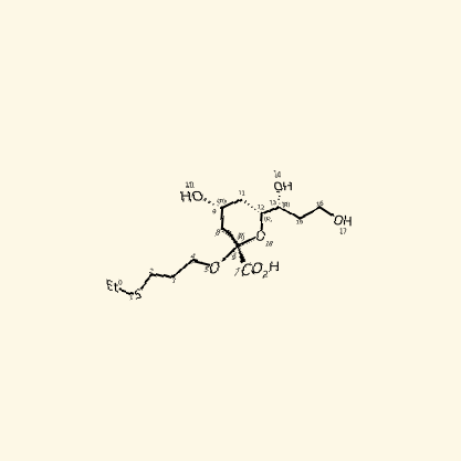 CCSCCCO[C@]1(C(=O)O)C[C@H](O)C[C@H]([C@H](O)CCO)O1